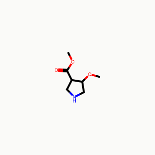 COC(=O)C1CNCC1OC